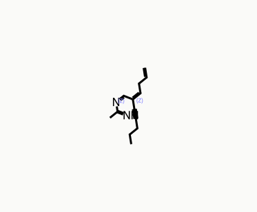 C=CC/C=C(C#CCCC)\C=N/C(C)=N